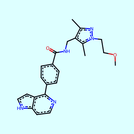 COCCn1nc(C)c(CNC(=O)c2ccc(-c3nccc4[nH]ccc34)cc2)c1C